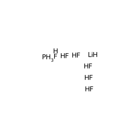 F.F.F.F.F.F.P.[LiH]